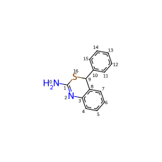 NC1=Nc2ccccc2C(c2ccccc2)S1